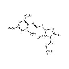 COc1cc(OC)c(C=CC=C2SC(=S)N(CCC(=O)O)C2=O)c(OC)c1